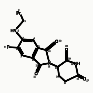 CC(C)CNc1cc2c(cc1F)C(=O)N(C1CCC(=O)NC1=O)C2=O